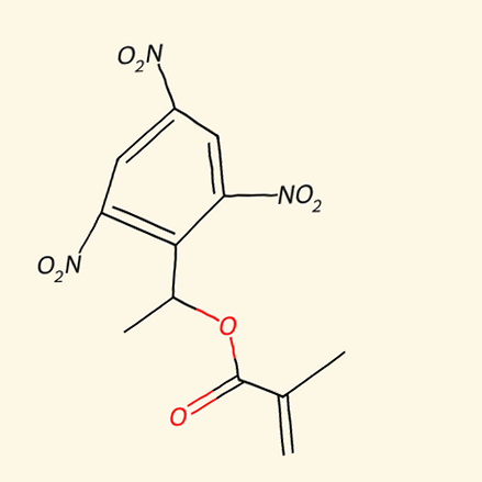 C=C(C)C(=O)OC(C)c1c([N+](=O)[O-])cc([N+](=O)[O-])cc1[N+](=O)[O-]